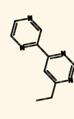 CCc1cc(-c2cnccn2)ncn1